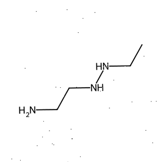 CCNNCCN